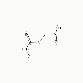 CNC(=N)SCC(=O)O